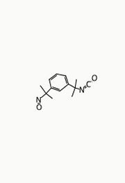 CC(C)(N=O)c1cccc(C(C)(C)N=C=O)c1